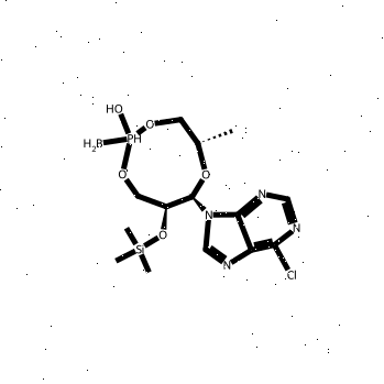 B[PH]1(O)OC[C@H](O[Si](C)(C)C)[C@H](n2cnc3c(Cl)ncnc32)O[C@@H](C)CO1